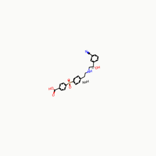 N#Cc1cccc([C@H](O)CNCCc2ccc(S(=O)(=O)c3ccc(C(=O)O)cc3)cc2)c1.[NaH]